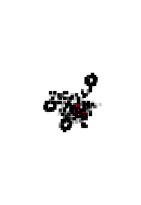 C=C[C@@]12CO[C@H]([C@@H](OC)[C@@H]1O)[C@H]([C@]1(OC)[C@H](OCc3ccccc3)[C@@H](OCc3ccccc3)[C@@H](OC)O[C@@H]1COCc1ccccc1)O2